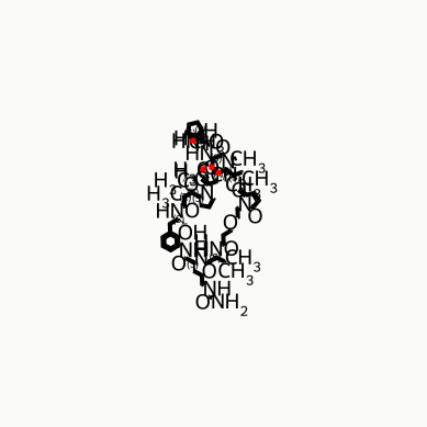 CC[C@H](C)[C@@H]([C@@H](CC(=O)N1CCC[C@H]1[C@H](OC)[C@@H](C)C(=O)N[C@H](CO)Cc1cccc(NC(=O)[C@H](CCCNC(N)=O)NC(=O)[C@@H](NC(=O)CCOCCN2C(=O)C=CC2=O)C(C)C)c1)OC)N(C)C(=O)[C@@H](NC(=O)[C@H]1N[C@H]2CC[C@H]1[C@@H]2C)C(C)C